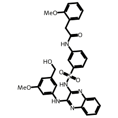 COc1cc(CO)cc(Nc2nc3ccccc3nc2NS(=O)(=O)c2cccc(NC(=O)Cc3ccccc3OC)c2)c1